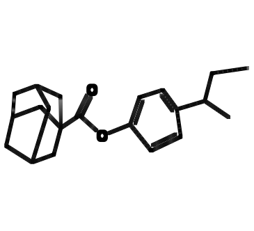 CCC(C)c1ccc(OC(=O)C23CC4CC(CC(C4)C2)C3)cc1